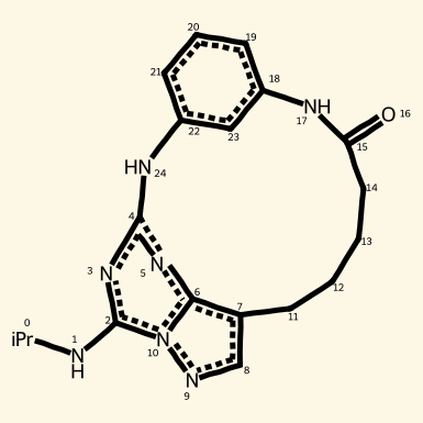 CC(C)Nc1nc2nc3c(cnn13)CCCCC(=O)Nc1cccc(c1)N2